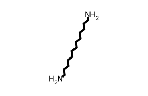 NCCCCCCCCCCCCCN